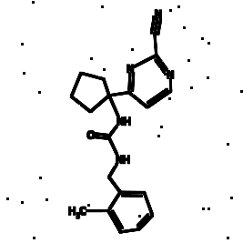 Cc1ccccc1CNC(=O)NC1(c2ccnc(C#N)n2)CCCC1